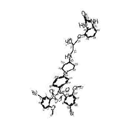 COc1ccc(Br)cc1S(=O)(=O)N(c1ccc(N2CCC(NCC(O)COc3cccc4[nH]c(=O)[nH]c34)CC2)cc1)S(=O)(=O)c1cc(Br)ccc1OC